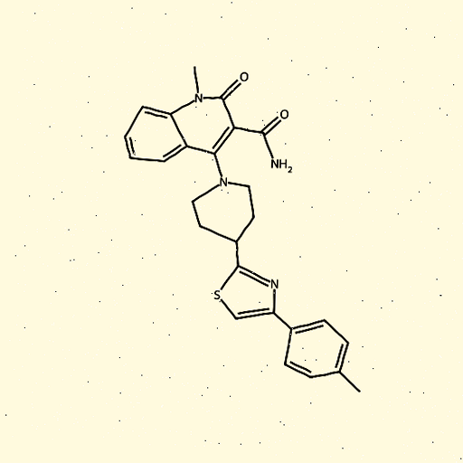 Cc1ccc(-c2csc(C3CCN(c4c(C(N)=O)c(=O)n(C)c5ccccc45)CC3)n2)cc1